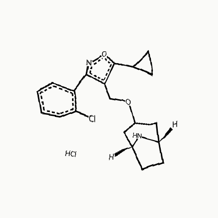 Cl.Clc1ccccc1-c1noc(C2CC2)c1COC1C[C@H]2CC[C@@H](C1)N2